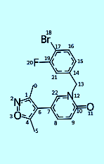 Cc1noc(C)c1-c1ccc(=O)n(Cc2ccc(Br)c(F)c2)c1